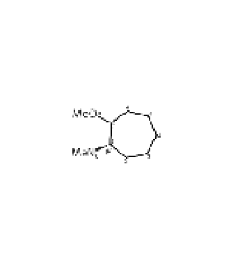 CN[C@@H]1CCCCCC1OC